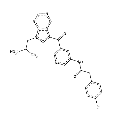 CC(Cn1cc(C(=O)c2cncc(NC(=O)Cc3ccc(Cl)cc3)c2)c2cncnc21)C(=O)O